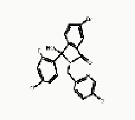 O=C1c2cc(Br)ccc2C(O)(c2ccc(Cl)cc2F)N1Cc1ccc(Cl)cn1